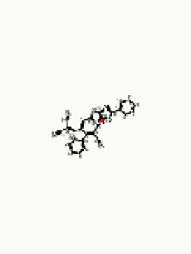 N#CC(C#N)=C1C(=Cc2nc3sc(-c4ccccc4)nc3s2)C(=C(C#N)C#N)c2ccccc21